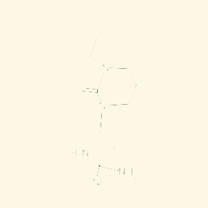 COCN1CCCN(COC(N)(N)N)C1=O